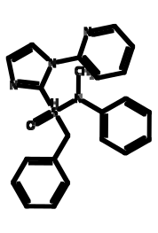 CN(c1ccccc1)[SH](=O)(Cc1ccccc1)c1nccn1-c1ccccn1